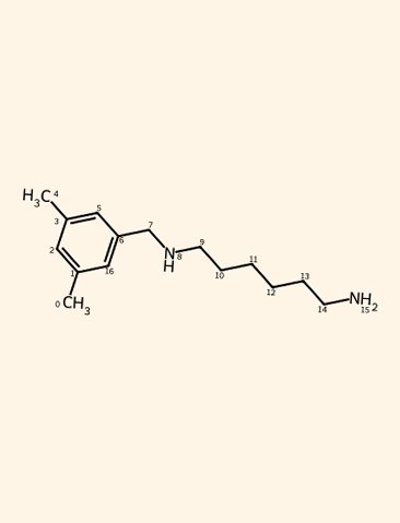 Cc1cc(C)cc(CNCCCCCCN)c1